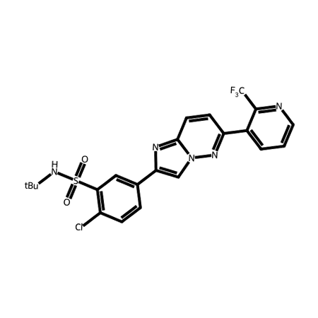 CC(C)(C)NS(=O)(=O)c1cc(-c2cn3nc(-c4cccnc4C(F)(F)F)ccc3n2)ccc1Cl